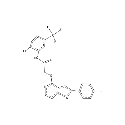 Cc1ccc(-c2cc3c(SCC(=O)Nc4cc(C(F)(F)F)ccc4Cl)nccn3n2)cc1